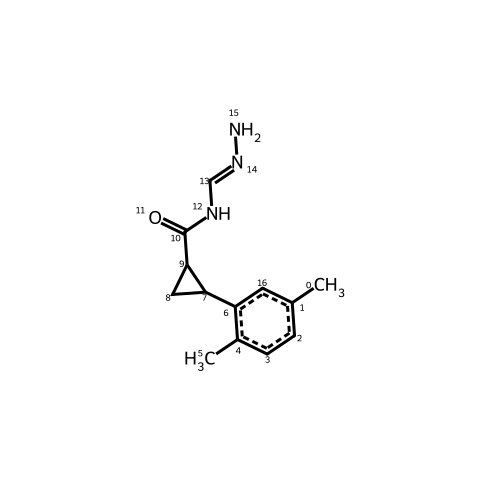 Cc1ccc(C)c(C2CC2C(=O)NC=NN)c1